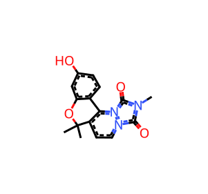 Cn1c(=O)n2ccc3c(n2c1=O)-c1ccc(O)cc1OC3(C)C